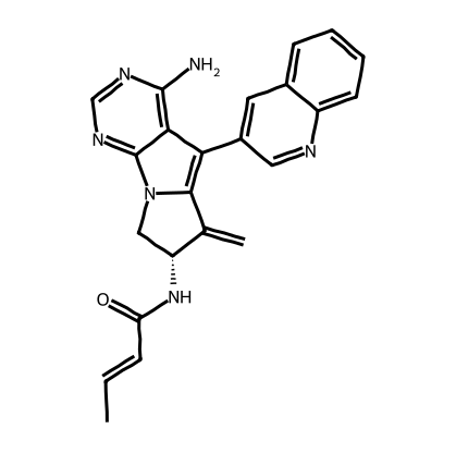 C=C1c2c(-c3cnc4ccccc4c3)c3c(N)ncnc3n2C[C@H]1NC(=O)C=CC